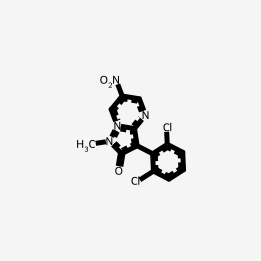 Cn1c(=O)c(-c2c(Cl)cccc2Cl)c2ncc([N+](=O)[O-])cn21